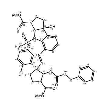 COC(=O)N1CC[C@](/N=N/c2cccc3c2N(S(C)(=O)=O)C2N(C(=O)OC)CC[C@]32O)(c2ccccc2C)C1NC(=O)OCc1ccccc1